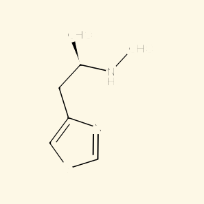 O=CN[C@H](C=O)Cc1cscn1